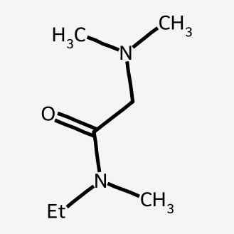 CCN(C)C(=O)CN(C)C